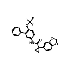 O=C(Nc1ccc(OC(F)(F)F)c(-c2ccccc2)c1)C1(c2ccc3c(c2)OCO3)CC1